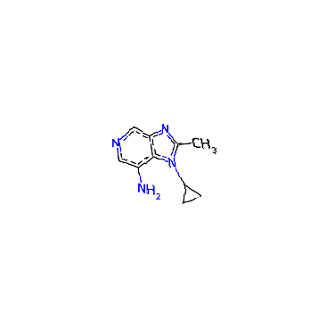 Cc1nc2cncc(N)c2n1C1CC1